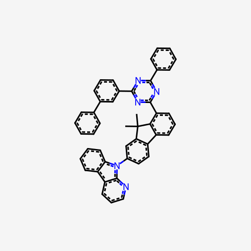 CC1(C)c2cc(-n3c4ccccc4c4cccnc43)ccc2-c2cccc(-c3nc(-c4ccccc4)nc(-c4cccc(-c5ccccc5)c4)n3)c21